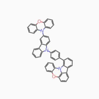 c1ccc2c(c1)Oc1ccccc1N2c1ccc2c(c1)c1ccccc1n2-c1ccc(-c2cccc3c4cccc5c4n(c23)-c2ccccc2O5)cc1